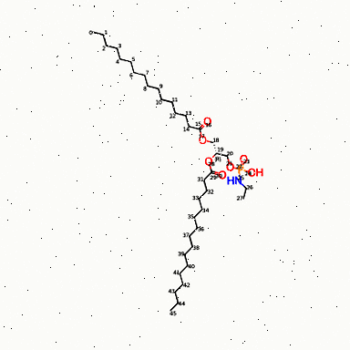 CCCCCCCCCCCCCCCC(=O)OC[C@H](COP(=O)(O)NCC)OC(=O)CCCCCCCCCCCCCCC